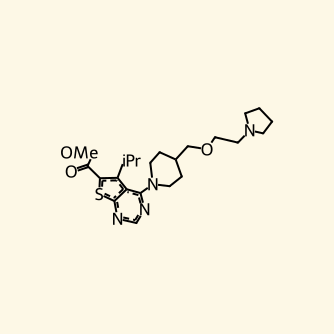 COC(=O)c1sc2ncnc(N3CCC(COCCN4CCCC4)CC3)c2c1C(C)C